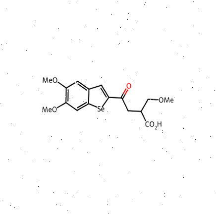 COCC(CC(=O)c1cc2cc(OC)c(OC)cc2[se]1)C(=O)O